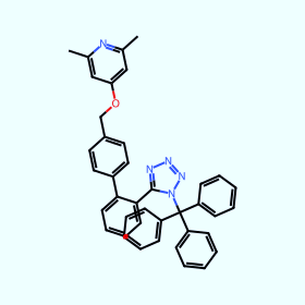 Cc1cc(OCc2ccc(-c3ccccc3-c3nnnn3C(c3ccccc3)(c3ccccc3)c3ccccc3)cc2)cc(C)n1